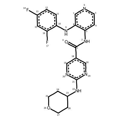 O=C(Nc1ccncc1Nc1ccc(F)cc1F)c1cnc(NC2CCOCC2)nc1